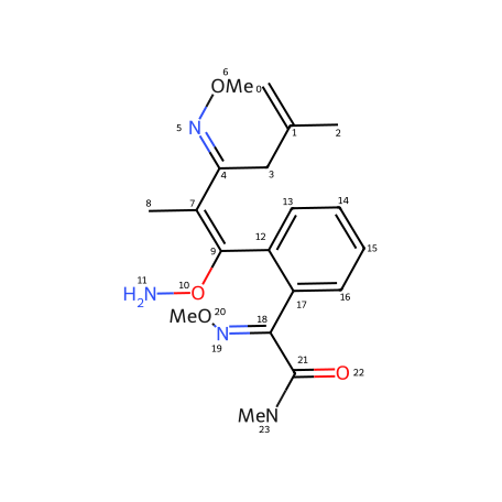 C=C(C)CC(=N\OC)/C(C)=C(/ON)c1ccccc1/C(=N\OC)C(=O)NC